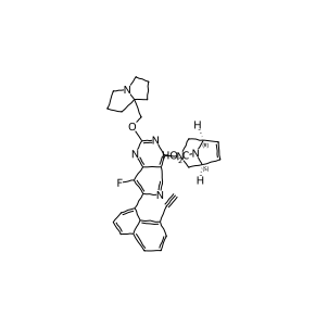 C#Cc1cccc2cccc(-c3ncc4c(N5C[C@H]6C=C[C@@H](C5)N6C(=O)O)nc(OCC56CCCN5CCC6)nc4c3F)c12